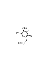 CCOC(=O)Cn1nc(C(C)C)c(OCC(C)C)c(C)c1=O